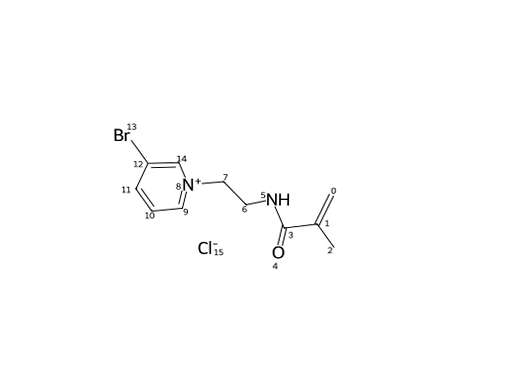 C=C(C)C(=O)NCC[n+]1cccc(Br)c1.[Cl-]